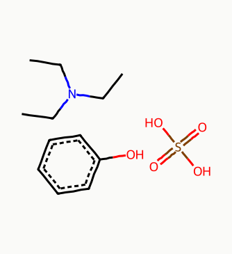 CCN(CC)CC.O=S(=O)(O)O.Oc1ccccc1